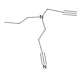 C#CCN(CCC)CCC#N